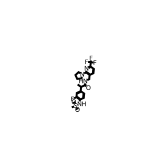 CC(C(=O)NCc1ccc(C(F)(F)F)nc1N1CCCC1)c1ccc(NS(C)(=O)=O)c(F)c1